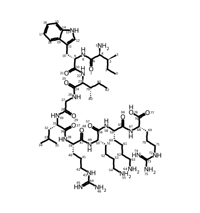 CC[C@H](C)[C@H](N)C(=O)N[C@@H](Cc1c[nH]c2ccccc12)C(=O)N[C@H](C(=O)NCC(=O)N[C@@H](CC(C)C)C(=O)N[C@@H](CCCNC(=N)N)C(=O)N[C@@H](CCCCN)C(=O)N[C@@H](CCCCN)C(=O)N[C@@H](CCCNC(=N)N)C(=O)O)[C@@H](C)CC